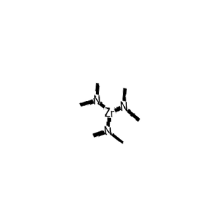 C[N](C)[Zr]([N](C)C)[N](C)C